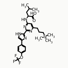 CC(C)CC(Nc1cc(CCC[Si](C)(C)C)nc(-c2nc(-c3ccc(OC(F)(F)F)cc3)c[nH]2)n1)C(=O)O